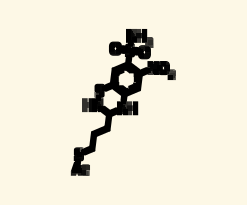 CC(=O)SCCCC1NSc2cc(S(N)(=O)=O)c([N+](=O)[O-])cc2N1